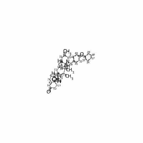 CC1=C2C[C@H]3[C@@H](CCC4=CC(=O)CC[C@@]43C)[C@@H]2CC[C@@]2(C1)O[C@@H]1C[C@H](C)CN(Cc3ccc(Oc4ccccc4)cc3)[C@H]1[C@H]2C